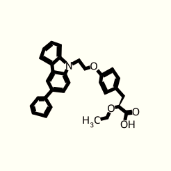 CCO[C@@H](Cc1ccc(OCCn2c3ccccc3c3cc(-c4ccccc4)ccc32)cc1)C(=O)O